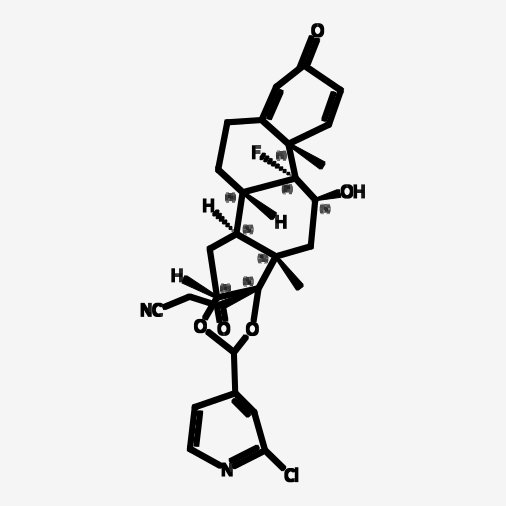 C[C@]12C=CC(=O)C=C1CC[C@H]1[C@@H]3C[C@H]4OC(c5ccnc(Cl)c5)O[C@@]4(C(=O)CC#N)[C@@]3(C)C[C@H](O)[C@@]12F